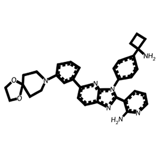 Nc1ncccc1-c1nc2ccc(-c3cccc(N4CCC5(CC4)OCCO5)c3)nc2n1-c1ccc(C2(N)CCC2)cc1